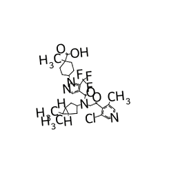 Cc1cncc(Cl)c1C(=O)CN(C(=O)c1cnn(C2CCC(C)(C(=O)O)CC2)c1C(F)(F)F)C1C[C@@H]2[C@H](C1)C2(C)C